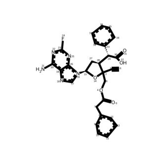 C#CC1(COC(=O)Cc2ccccc2)O[C@@H](n2cnc3c(N)nc(F)nc32)C[C@H]1[C@@H](C(=O)O)c1ccccc1